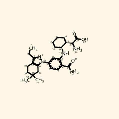 CCc1nn(-c2ccc(C(N)=O)c(N[C@H]3CCCC[C@H]3C(N)C(=O)O)c2)c2c1CCC(C)(C)C2